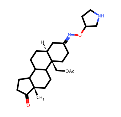 CC(=O)OC[C@]12CCC(=NOC3CCNC3)C[C@@H]1CCC1C2CC[C@]2(C)C(=O)CCC12